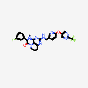 CN1c2nc(NCc3ccc(Oc4cnc(C(F)(F)F)nc4)nc3)nc3c2N(CCC3)C(=O)C1c1cccc(F)c1